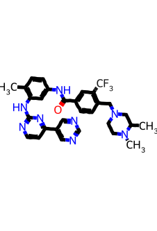 Cc1ccc(NC(=O)c2ccc(CN3CCN(C)C(C)C3)c(C(F)(F)F)c2)cc1Nc1nccc(-c2cncnc2)n1